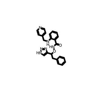 O=C(NOC(Cc1ccccc1)c1c[nH]nn1)c1ccccc1NCc1ccncc1